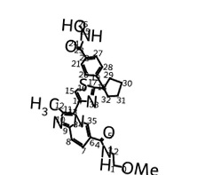 COCCNC(=O)c1ccc2nc(C)c(-c3csc(C4(c5ccc(C(=O)NO)cc5)CCCC4)n3)n2c1